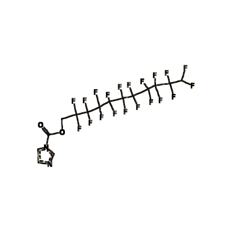 O=C(OCC(F)(F)C(F)(F)C(F)(F)C(F)(F)C(F)(F)C(F)(F)C(F)(F)C(F)(F)C(F)(F)C(F)F)n1ccnc1